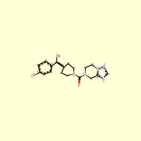 N#CC(=C1CCN(C(=O)N2CCn3ncnc3C2)CC1)c1ccc(Cl)cc1